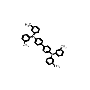 Cc1cccc(N(c2ccc(-c3ccc(N(c4cccc(C)c4)c4cccc(C)c4)cc3)cc2)c2cccc(C)c2)c1